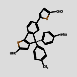 CCCCCCc1ccc([C@@]2(c3ccc(C)cc3)c3cc(-c4ccc(C=O)s4)ccc3-c3sc(C=O)cc32)cc1